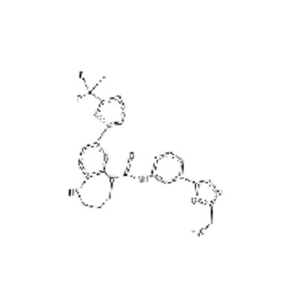 CCc1ncc(-c2cccc(NC(=O)N3CCCNc4ccc(-c5cccc(C(F)(F)F)c5)nc43)c2)o1